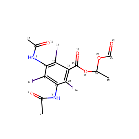 CC(=O)Nc1c(I)c(NC(C)=O)c(I)c(C(=O)OC(C)O[C]=O)c1I